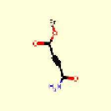 CCOC(=O)C#CC(N)=O